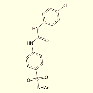 CC(=O)NS(=O)(=O)c1ccc(NC(=O)Nc2ccc(Cl)cc2)cc1